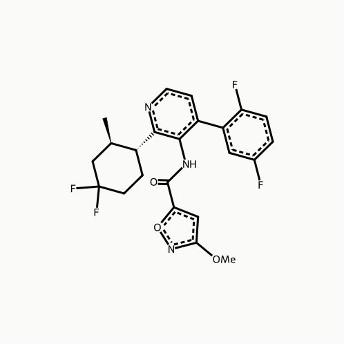 COc1cc(C(=O)Nc2c(-c3cc(F)ccc3F)ccnc2[C@@H]2CCC(F)(F)C[C@H]2C)on1